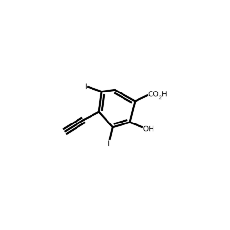 C#Cc1c(I)cc(C(=O)O)c(O)c1I